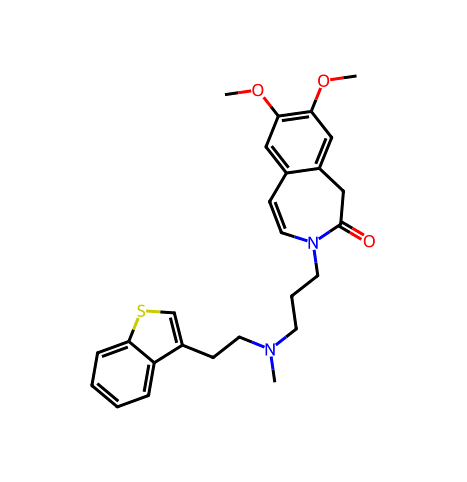 COc1cc2c(cc1OC)CC(=O)N(CCCN(C)CCc1csc3ccccc13)C=C2